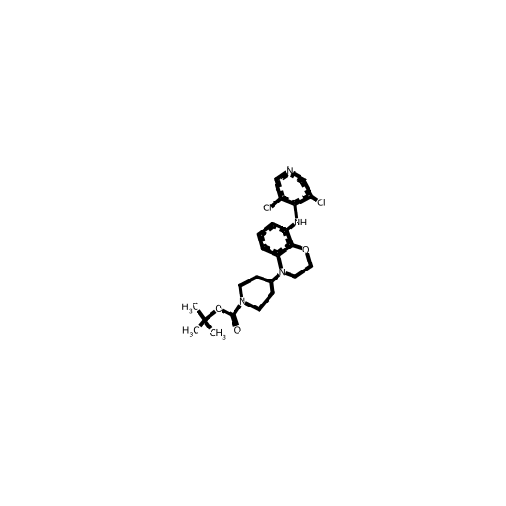 CC(C)(C)OC(=O)N1CCC(N2CCOc3c(Nc4c(Cl)cncc4Cl)cccc32)CC1